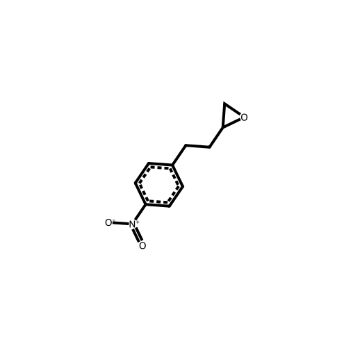 O=[N+]([O-])c1ccc(CCC2CO2)cc1